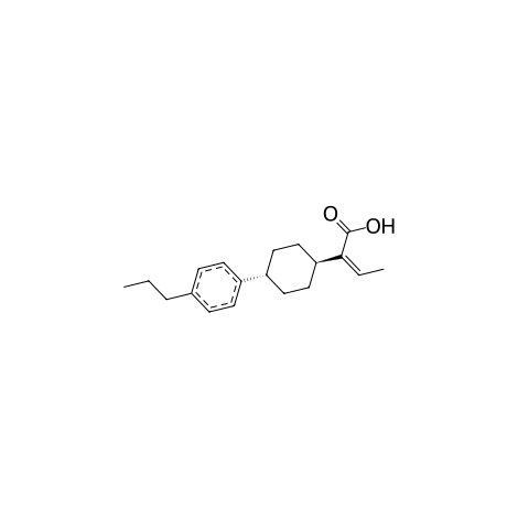 CC=C(C(=O)O)[C@H]1CC[C@H](c2ccc(CCC)cc2)CC1